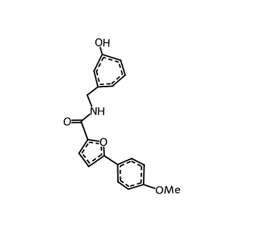 COc1ccc(-c2ccc(C(=O)NCc3cccc(O)c3)o2)cc1